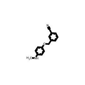 CNc1ccc(OCc2cccc(C#N)c2)cc1